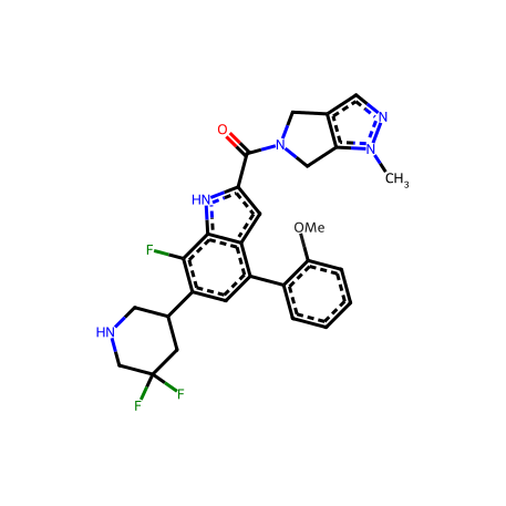 COc1ccccc1-c1cc(C2CNCC(F)(F)C2)c(F)c2[nH]c(C(=O)N3Cc4cnn(C)c4C3)cc12